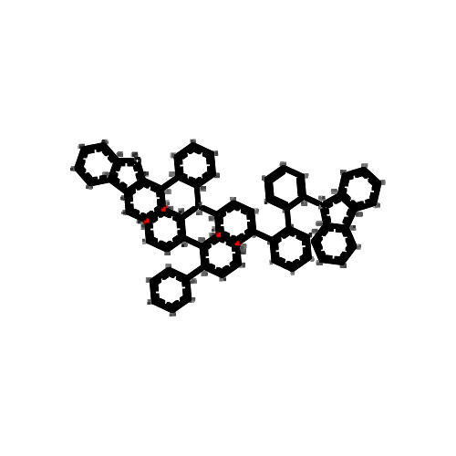 C1=C=C(c2ccccc2-c2ccc(N(c3ccccc3-c3ccccc3-c3ccccc3)c3ccccc3-c3cccc4c3oc3ccccc34)cc2)C(n2c3ccccc3c3ccccc32)=CC=1